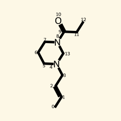 CC=CCN1CCCN(C(=O)CC)C1